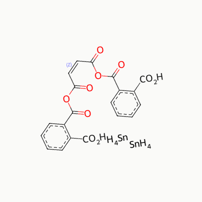 O=C(/C=C\C(=O)OC(=O)c1ccccc1C(=O)O)OC(=O)c1ccccc1C(=O)O.[SnH4].[SnH4]